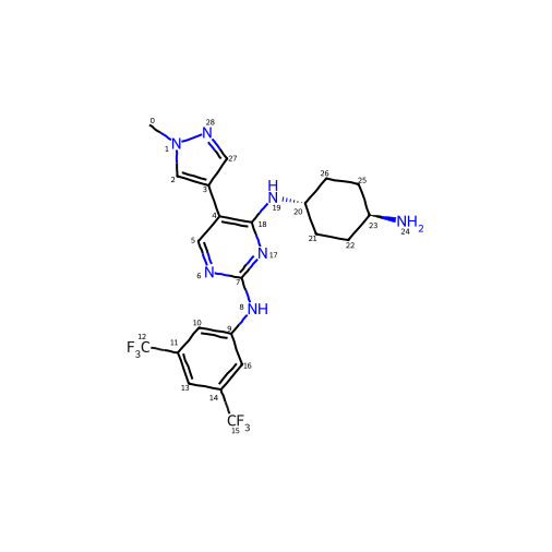 Cn1cc(-c2cnc(Nc3cc(C(F)(F)F)cc(C(F)(F)F)c3)nc2N[C@H]2CC[C@H](N)CC2)cn1